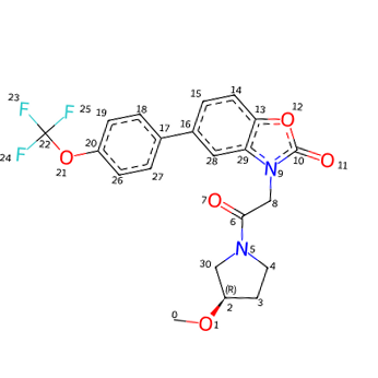 CO[C@@H]1CCN(C(=O)Cn2c(=O)oc3ccc(-c4ccc(OC(F)(F)F)cc4)cc32)C1